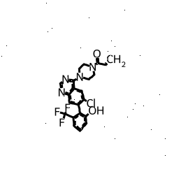 C=CC(=O)N1CCN(c2ncnc3cc(-c4c(O)cccc4C(F)(F)F)c(Cl)cc23)CC1